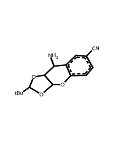 CC(C)(C)C1OC2Oc3ccc(C#N)cc3C(N)C2O1